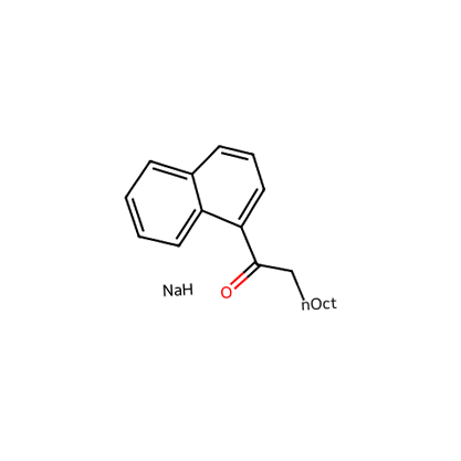 CCCCCCCCCC(=O)c1cccc2ccccc12.[NaH]